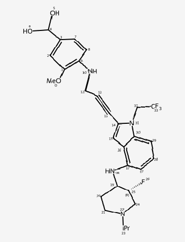 COc1cc(C(O)O)ccc1NCC#Cc1cc2c(NC3CCN(C(C)C)C[C@H]3F)cccc2n1CC(F)(F)F